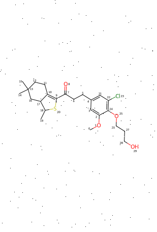 COc1cc(CCC(=O)C2=C3CCC(C)(C)CC3C(C)S2)cc(Cl)c1OCCCO